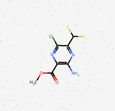 COC(=O)c1nc(Cl)c(C(F)F)nc1N